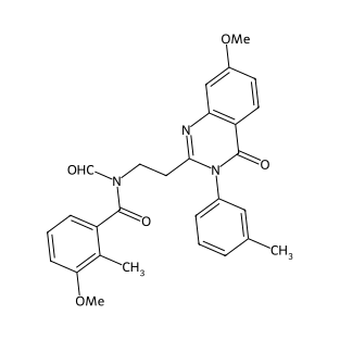 COc1ccc2c(=O)n(-c3cccc(C)c3)c(CCN(C=O)C(=O)c3cccc(OC)c3C)nc2c1